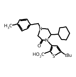 Cc1ccc(CN2CC(=O)N(c3cc(C(C)(C)C)sc3C(=O)O)C(C3CCCCC3)C2)cc1